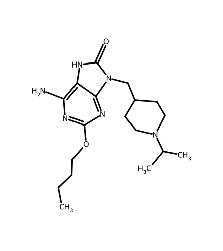 CCCCOc1nc(N)c2[nH]c(=O)n(CC3CCN(C(C)C)CC3)c2n1